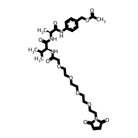 CC(=O)OCc1ccc(NC(=O)[C@H](C)NC(=O)[C@@H](NC(=O)COCCOCCOCCOCCN2C(=O)C=CC2=O)C(C)C)cc1